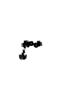 CC(c1ccc(-c2ccc3cnn(C)c3c2)cc1)S(=O)(=O)NCCCCCCC(=O)NO